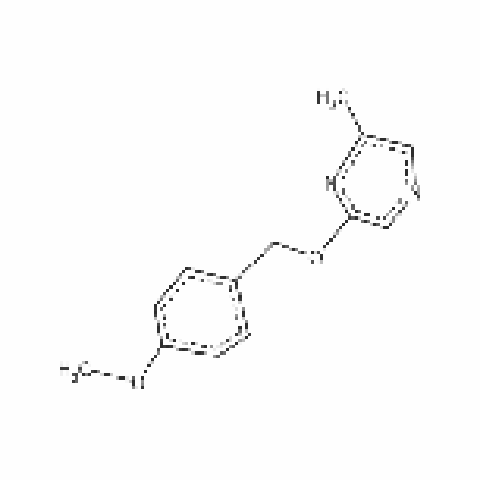 COc1ccc(COc2cncc(C)n2)cc1